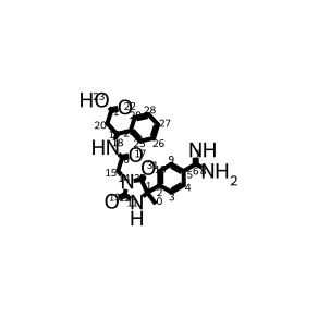 CC1(c2ccc(C(=N)N)cc2)NC(=O)N(CC(=O)NC(CC(=O)O)c2ccccc2)C1=O